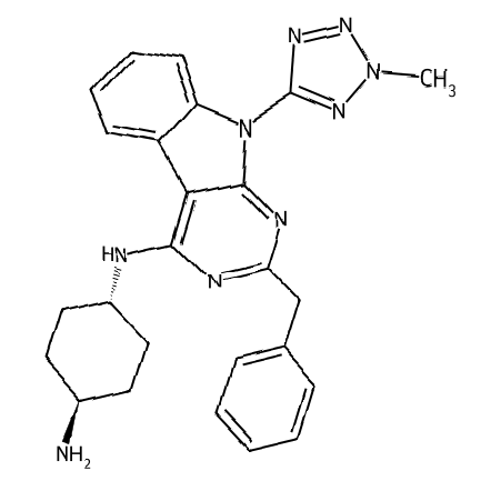 Cn1nnc(-n2c3ccccc3c3c(N[C@H]4CC[C@H](N)CC4)nc(Cc4ccccc4)nc32)n1